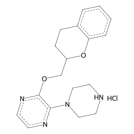 Cl.c1ccc2c(c1)CCC(COc1nccnc1N1CCNCC1)O2